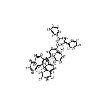 c1ccc(C2=NC(c3ccc(-n4c5ccc6ccccc6c5c5c6ccccc6ccc54)c4ccccc34)NC(c3ccccc3)=N2)cc1